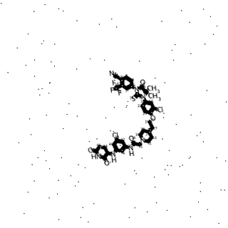 CC1(C)C(=O)N(c2ccc(C#N)c(C(F)(F)F)c2)C(=S)N1c1ccc(OCCC2CCN(CC(=O)Nc3cc(Cl)cc(NC4CCC(=O)NC4=O)c3)CC2)c(Cl)c1